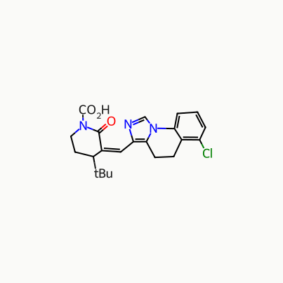 CC(C)(C)C1CCN(C(=O)O)C(=O)C1=Cc1ncn2c1CCc1c(Cl)cccc1-2